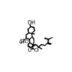 C=C(CCC1(C)OC2OC3CC1C21CCC2C4(C)CCC(O)CC4CC(Cl)C2(O)C31)C(C)C